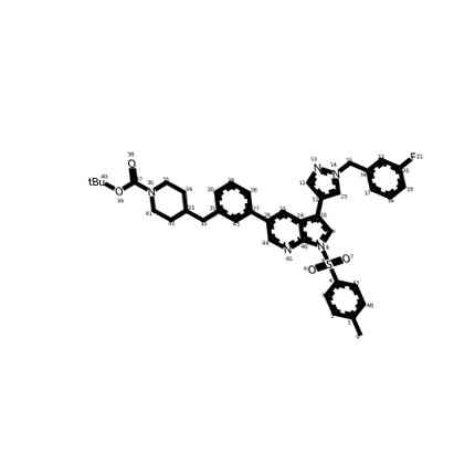 Cc1ccc(S(=O)(=O)n2cc(-c3cnn(Cc4cccc(F)c4)c3)c3cc(-c4cccc(CC5CCN(C(=O)OC(C)(C)C)CC5)c4)cnc32)cc1